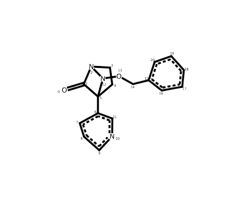 O=C1N2CCC1(c1cccnc1)N2OCc1ccccc1